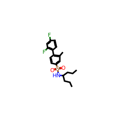 CCCC(CCC)NS(=O)(=O)c1ccc(-c2ccc(F)cc2F)c(C)c1